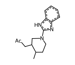 CC(=O)CC1CN(c2nc3ccccc3[nH]2)CCC1C